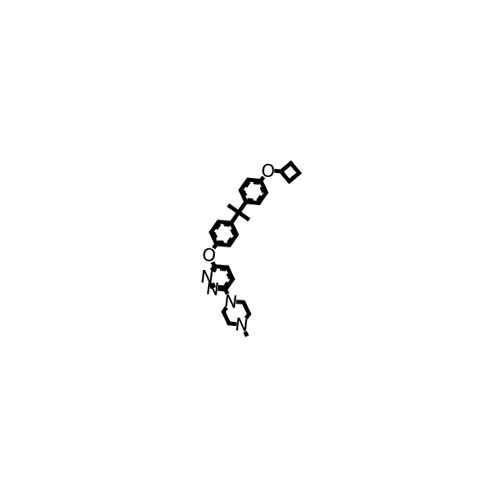 CN1CCN(c2ccc(Oc3ccc(C(C)(C)c4ccc(OC5CCC5)cc4)cc3)nn2)CC1